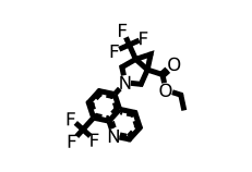 CCOC(=O)C12CN(c3ccc(C(F)(F)F)c4ncccc34)CC1(C(F)(F)F)C2